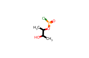 CC(O)C(C)O[PH](=O)Cl